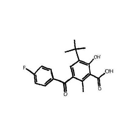 Cc1c(C(=O)c2ccc(F)cc2)cc(C(C)(C)C)c(O)c1C(=O)O